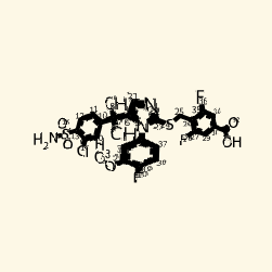 COc1cc(-n2c(C(C)(C)c3ccc(S(N)(=O)=O)c(Cl)c3)cnc2SCc2c(F)cc(C(=O)O)cc2F)ccc1F